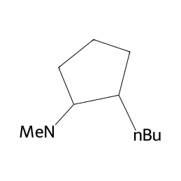 CCCCC1CCCC1NC